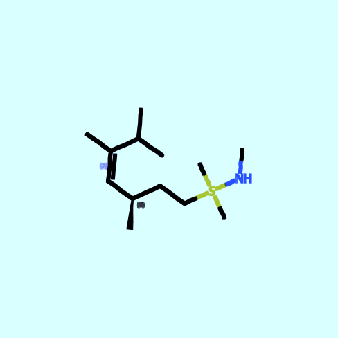 CNS(C)(C)CC[C@@H](C)/C=C(/C)C(C)C